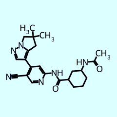 CC(=O)NC1CCCC(C(=O)Nc2cc(-c3cnn4c3CC(C)(C)C4)c(C#N)cn2)C1